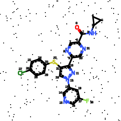 O=C(NC1CC1)c1cnc(-c2nn(-c3cncc(F)c3)cc2Sc2ccc(Cl)cc2)cn1